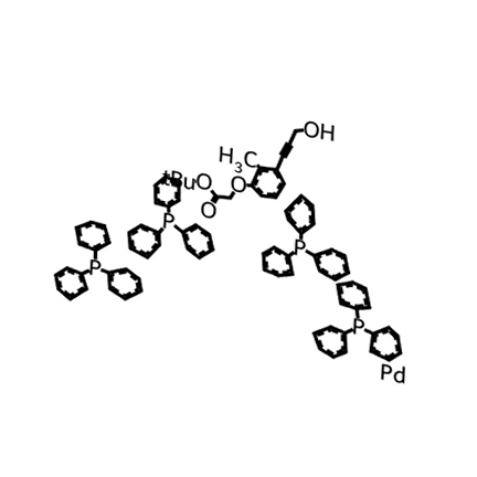 Cc1c(C#CCO)cccc1OCC(=O)OC(C)(C)C.[Pd].c1ccc(P(c2ccccc2)c2ccccc2)cc1.c1ccc(P(c2ccccc2)c2ccccc2)cc1.c1ccc(P(c2ccccc2)c2ccccc2)cc1.c1ccc(P(c2ccccc2)c2ccccc2)cc1